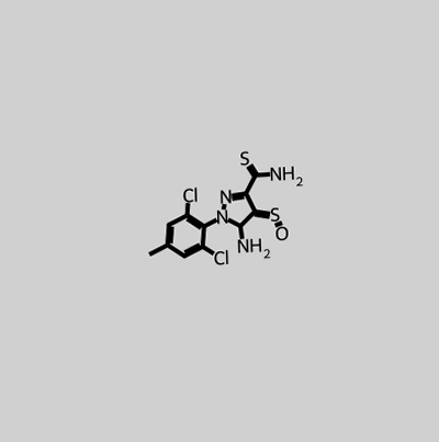 Cc1cc(Cl)c(N2N=C(C(N)=S)C(=S=O)C2N)c(Cl)c1